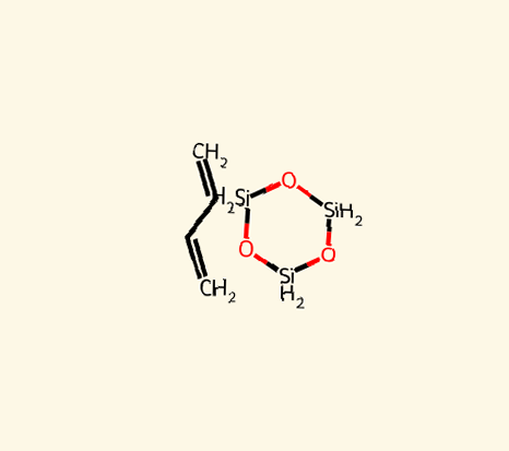 C=CC=C.O1[SiH2]O[SiH2]O[SiH2]1